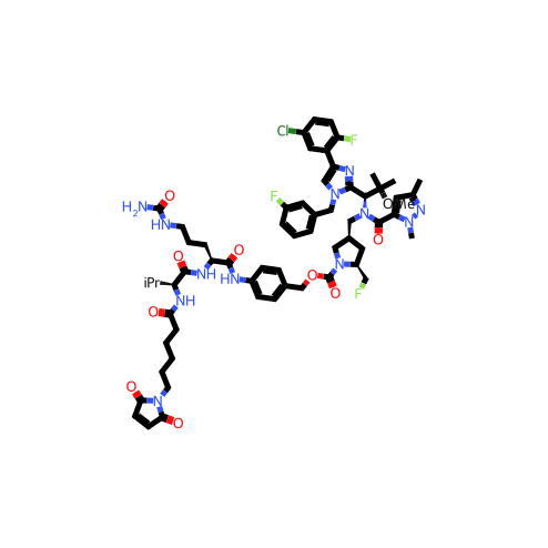 COC(C)(C)[C@H](c1nc(-c2cc(Cl)ccc2F)cn1Cc1cccc(F)c1)N(C[C@H]1C[C@@H](CF)N(C(=O)OCc2ccc(NC(=O)[C@H](CCCNC(N)=O)NC(=O)[C@@H](NC(=O)CCCCCN3C(=O)C=CC3=O)C(C)C)cc2)C1)C(=O)c1cc(C)nn1C